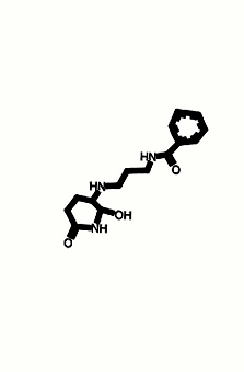 O=C1CCC(NCCCNC(=O)c2ccccc2)C(O)N1